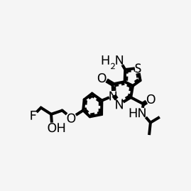 CC(C)NC(=O)c1nn(-c2ccc(OCC(O)CF)cc2)c(=O)c2c(N)scc12